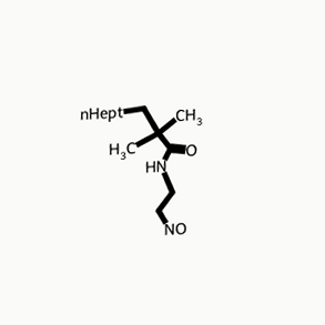 CCCCCCCCC(C)(C)C(=O)NCCN=O